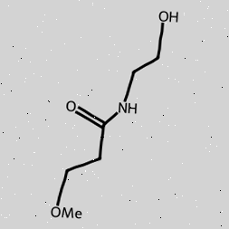 COCCC(=O)NCCO